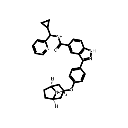 CN1[C@@H]2CC[C@H]1CC(Oc1ccc(-c3n[nH]c4ccc(C(=O)NC(c5ccccn5)C5CC5)cc34)cc1)C2